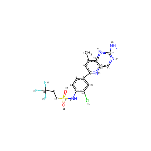 Cc1cc(-c2ccc(NS(=O)(=O)CCC(F)(F)F)c(Cl)c2)nc2cnc(N)nc12